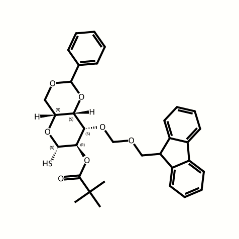 CC(C)(C)C(=O)O[C@@H]1[C@@H](OCOCC2c3ccccc3-c3ccccc32)[C@H]2OC(c3ccccc3)OC[C@H]2O[C@H]1S